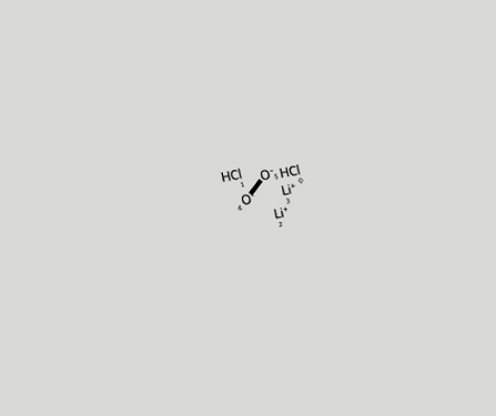 Cl.Cl.[Li+].[Li+].[O-][O-]